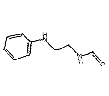 O=CNCCNc1ccccc1